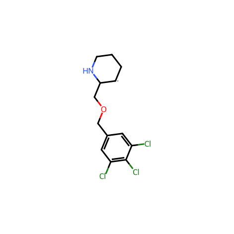 Clc1cc(COCC2[CH]CCCN2)cc(Cl)c1Cl